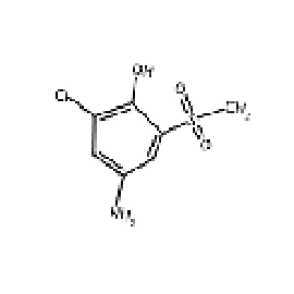 CS(=O)(=O)c1cc(N)cc(Cl)c1O